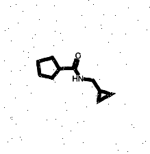 O=C(NCC1CC1)C1CCCC1